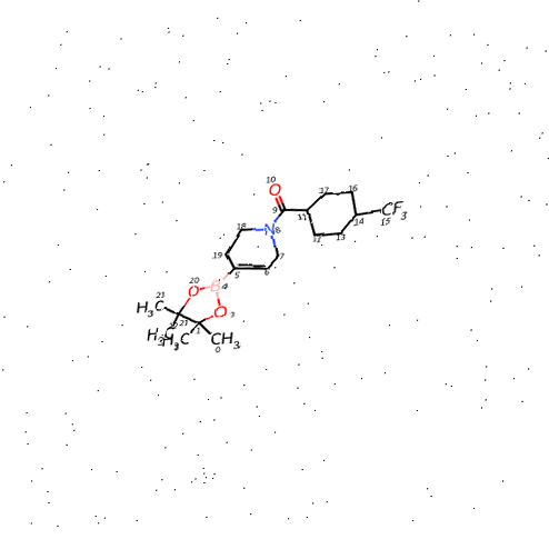 CC1(C)OB(C2=CCN(C(=O)C3CCC(C(F)(F)F)CC3)CC2)OC1(C)C